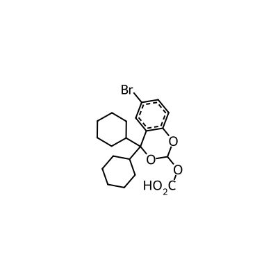 O=C(O)OC1Oc2ccc(Br)cc2C(C2CCCCC2)(C2CCCCC2)O1